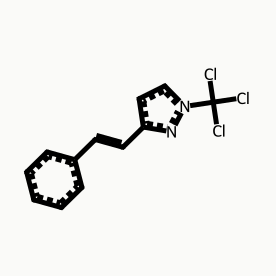 ClC(Cl)(Cl)n1ccc(C=Cc2ccccc2)n1